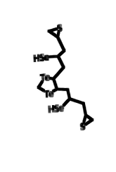 [SeH]C(CC1CS1)CC1[Te]C[Te]C1CC([SeH])CC1CS1